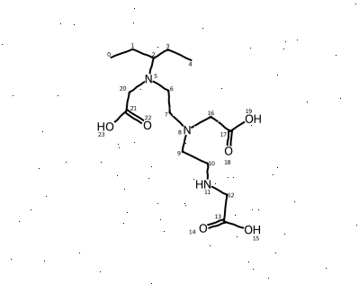 CCC(CC)N(CCN(CCNCC(=O)O)CC(=O)O)CC(=O)O